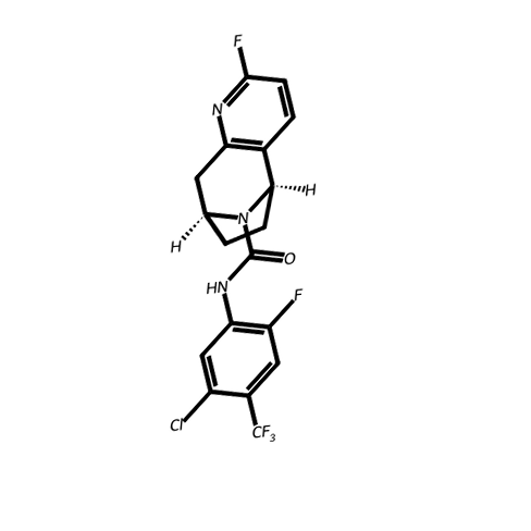 O=C(Nc1cc(Cl)c(C(F)(F)F)cc1F)N1[C@H]2CC[C@@H]1c1ccc(F)nc1C2